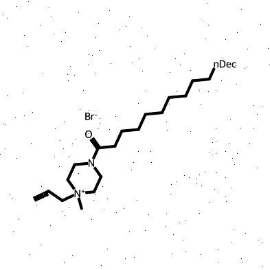 C=CC[N+]1(C)CCN(C(=O)CCCCCCCCCCCCCCCCCCC)CC1.[Br-]